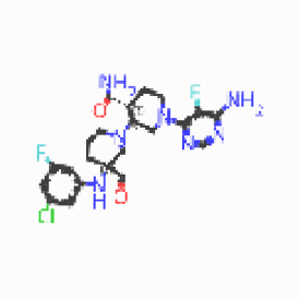 NC(=O)[C@@H]1CCN(c2ncnc(N)c2F)C[C@H]1N1CCC[C@](C=O)(Nc2cc(F)cc(Cl)c2)C1